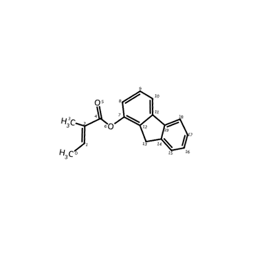 CC=C(C)C(=O)Oc1cccc2c1Cc1ccccc1-2